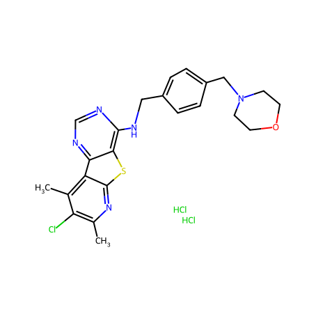 Cc1nc2sc3c(NCc4ccc(CN5CCOCC5)cc4)ncnc3c2c(C)c1Cl.Cl.Cl